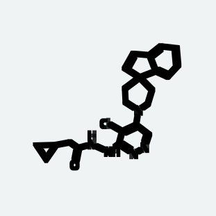 O=C(CC1CC1)NNc1nncc(N2CCC3(C=Cc4ccccc43)CC2)c1Cl